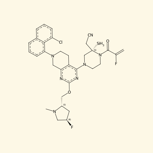 C=C(F)C(=O)N1CCN(c2nc(OC[C@@H]3C[C@@H](F)CN3C)nc3c2CCN(c2cccc4cccc(Cl)c24)C3)C[C@@]1([SiH3])CC#N